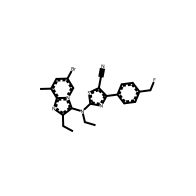 CCc1nc2c(C)cc(Br)cn2c1N(CC)c1nc(-c2ccc(CF)cc2)c(C#N)s1